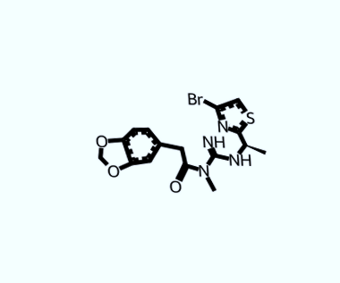 C[C@@H](NC(=N)N(C)C(=O)Cc1ccc2c(c1)OCO2)c1nc(Br)cs1